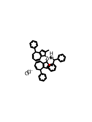 CC1=CC2=C(C=CC=CC2c2ccccc2)[CH]1[Zr+2](=[SiH]C(c1ccccc1)c1ccccc1)[CH]1C(C)=CC2=C1C=CC=CC2c1ccccc1.[Cl-].[Cl-]